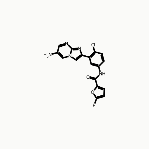 Nc1cnc2nc(-c3cc(NC(=O)c4ccc(F)o4)ccc3Cl)cn2c1